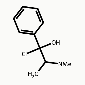 CNC(C)C(O)(Cl)c1ccccc1